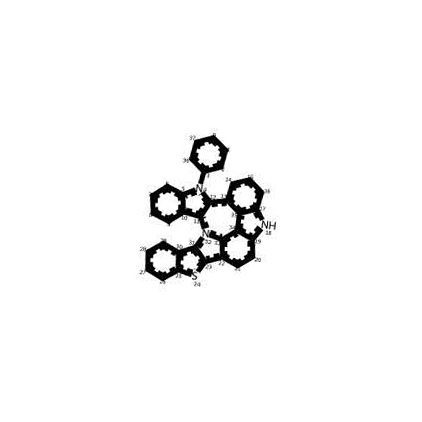 c1ccc(-n2c3ccccc3c3c2c2cccc4[nH]c5ccc6c7sc8ccccc8c7n3c6c5c42)cc1